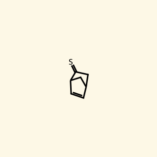 S=C1CC2C=CC1C2